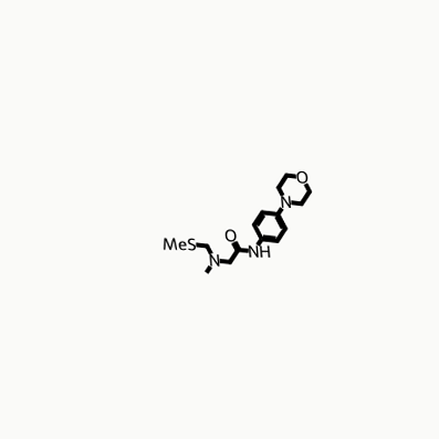 CSCN(C)CC(=O)Nc1ccc(N2CCOCC2)cc1